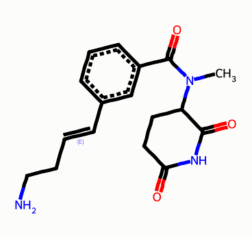 CN(C(=O)c1cccc(/C=C/CCN)c1)C1CCC(=O)NC1=O